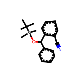 CC(C)(C)[Si](C)(C)OC(c1ccccc1)c1ccccc1C#N